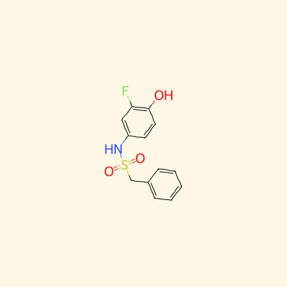 O=S(=O)(Cc1ccccc1)Nc1ccc(O)c(F)c1